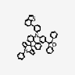 c1ccc(-c2oc3ccccc3c2-c2ccc(N(c3cccc(-c4cccc5ccsc45)c3)c3cccc4c3-c3ccccc3C43c4ccccc4N(c4ccccc4)c4ccccc43)cc2)cc1